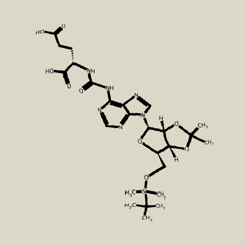 CC1(C)O[C@@H]2[C@H](O1)[C@@H](CO[Si](C)(C)C(C)(C)C)O[C@H]2n1cnc2c(NC(=O)N[C@@H](CCC(=O)O)C(=O)O)ncnc21